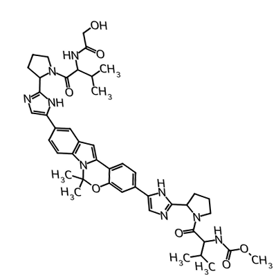 COC(=O)NC(C(=O)N1CCCC1c1ncc(-c2ccc3c(c2)OC(C)(C)n2c-3cc3cc(-c4cnc(C5CCCN5C(=O)C(NC(=O)CO)C(C)C)[nH]4)ccc32)[nH]1)C(C)C